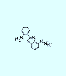 [N-]=[N+]=Nc1cccc2sc(-c3ccccc3N)nc12